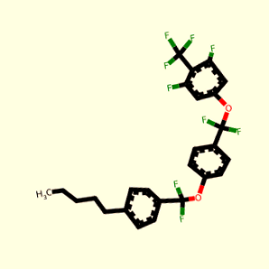 CCCCCc1ccc(C(F)(F)Oc2ccc(C(F)(F)Oc3cc(F)c(C(F)(F)F)c(F)c3)cc2)cc1